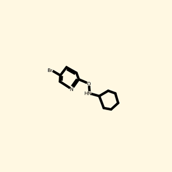 Brc1ccc(ONC2CCCCC2)nc1